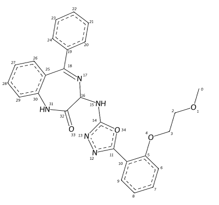 COCCOc1ccccc1-c1nnc(NC2N=C(c3ccccc3)c3ccccc3NC2=O)o1